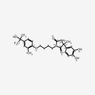 Cc1cc(C(O)(C(F)(F)F)C(F)(F)F)ccc1OCCCCN1C(=O)NC(C)(c2ccc(O)c(O)c2)C1=O